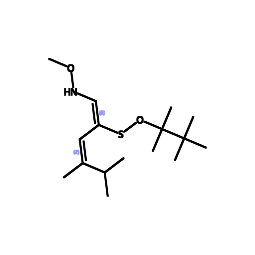 CON/C=C(\C=C(\C)C(C)C)SOC(C)(C)C(C)(C)C